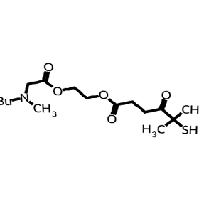 CN(CC(=O)OCCOC(=O)CCC(=O)C(C)(C)S)C(C)(C)C